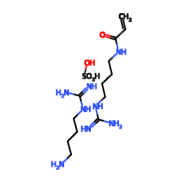 C=CC(=O)NCCCCNC(=N)N.N=C(N)NCCCCN.O=S(=O)(O)O